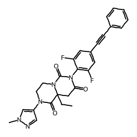 CCC12CC(=O)N(c3c(F)cc(C#Cc4ccccc4)cc3F)C(=O)N1CCN(c1cnn(C)c1)C2=O